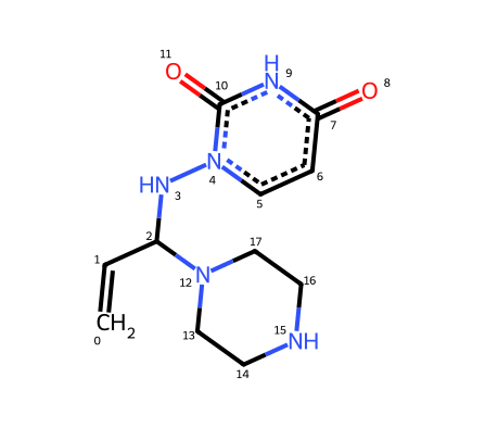 C=CC(Nn1ccc(=O)[nH]c1=O)N1CCNCC1